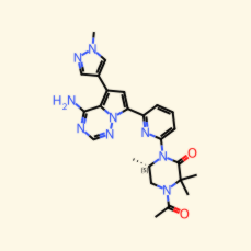 CC(=O)N1C[C@H](C)N(c2cccc(-c3cc(-c4cnn(C)c4)c4c(N)ncnn34)n2)C(=O)C1(C)C